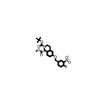 COC(=O)[C@H]1c2ccc(OCc3ccc(F)c([N+](=O)[O-])c3)cc2CCN1C(=O)OC(C)(C)C